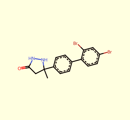 CC1(c2ccc(-c3ccc(Br)cc3Br)cc2)CC(=O)NN1